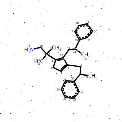 CC(CC1=CCC(C(C)(C)CN)=C1CC(C)c1ccccc1)c1ccccc1